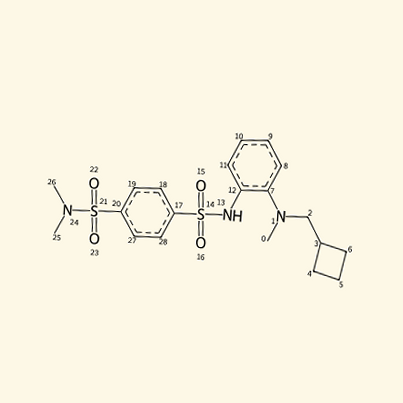 CN(CC1CCC1)c1ccccc1NS(=O)(=O)c1ccc(S(=O)(=O)N(C)C)cc1